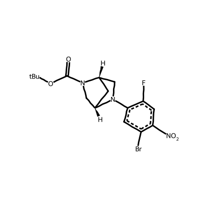 CC(C)(C)OC(=O)N1C[C@@H]2C[C@H]1CN2c1cc(Br)c([N+](=O)[O-])cc1F